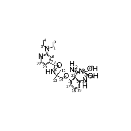 CCN(CC)c1cc(C(=O)NC(C)(C)COc2cccc3c2C(N)=NS(O)(O)N3)ccn1